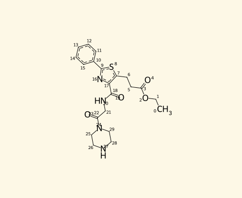 CCOC(=O)CCc1sc(-c2ccccc2)nc1C(=O)NCC(=O)N1CCNCC1